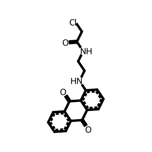 O=C(CCl)NCCNc1cccc2c1C(=O)c1ccccc1C2=O